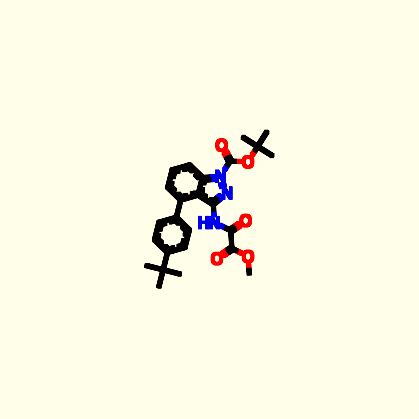 COC(=O)C(=O)Nc1nn(C(=O)OC(C)(C)C)c2cccc(-c3ccc(C(C)(C)C)cc3)c12